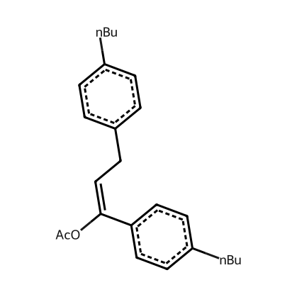 CCCCc1ccc(CC=C(OC(C)=O)c2ccc(CCCC)cc2)cc1